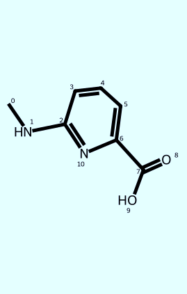 CNc1cccc(C(=O)O)n1